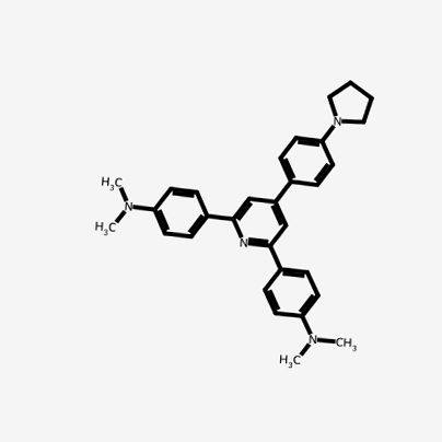 CN(C)c1ccc(-c2cc(-c3ccc(N4CCCC4)cc3)cc(-c3ccc(N(C)C)cc3)n2)cc1